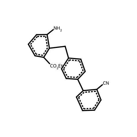 CCOC(=O)c1cccc(N)c1Cc1ccc(-c2ccccc2C#N)cc1